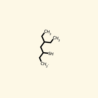 [CH2]CC(S)CC(CC)CC